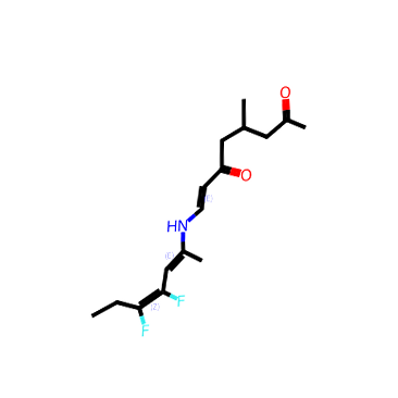 CC/C(F)=C(F)\C=C(/C)N/C=C/C(=O)CC(C)CC(C)=O